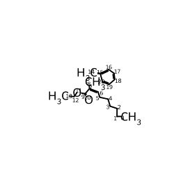 CCCCCCC=C(C)C(=O)OCC.Cc1ccccc1